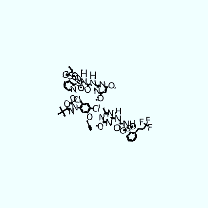 C#CCOc1cc(-n2nc(C(C)(C)C)oc2=O)c(Cl)cc1Cl.CCS(=O)(=O)c1cccnc1S(=O)(=O)NC(=O)Nc1nc(OC)cc(OC)n1.COc1nc(C)nc(NC(=O)NS(=O)(=O)c2ccccc2CCC(F)(F)F)n1